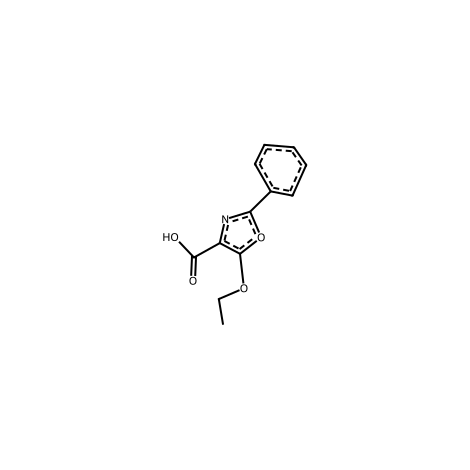 CCOc1oc(-c2ccccc2)nc1C(=O)O